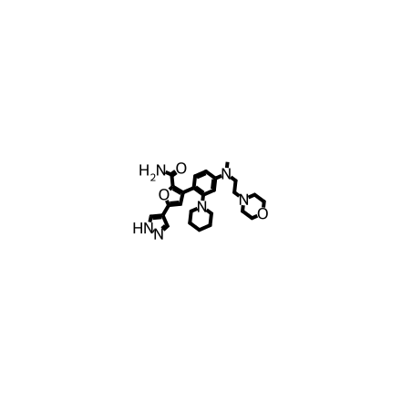 CN(CCN1CCOCC1)c1ccc(-c2cc(-c3cn[nH]c3)oc2C(N)=O)c(N2CCCCC2)c1